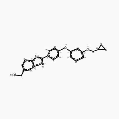 OCc1ccc2nc(-c3ccc(Oc4cccc(OCC5CC5)c4)cn3)[nH]c2c1